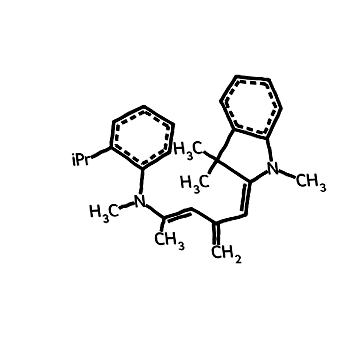 C=C(/C=C(\C)N(C)c1ccccc1C(C)C)/C=C1/N(C)c2ccccc2C1(C)C